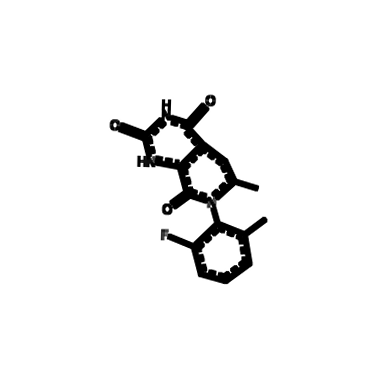 Cc1cccc(F)c1-n1c(C)cc2c(=O)[nH]c(=O)[nH]c2c1=O